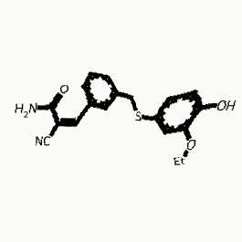 CCOc1cc(SCc2cccc(C=C(C#N)C(N)=O)c2)ccc1O